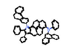 c1ccc(-c2c(-c3ccccc3)n(-c3ccc4c(ccc5ccccc54)c3)c3c2cc2ccc4c(N(c5ccccc5)c5cc6ccccc6c6ccccc56)ccc5ccc3c2c54)cc1